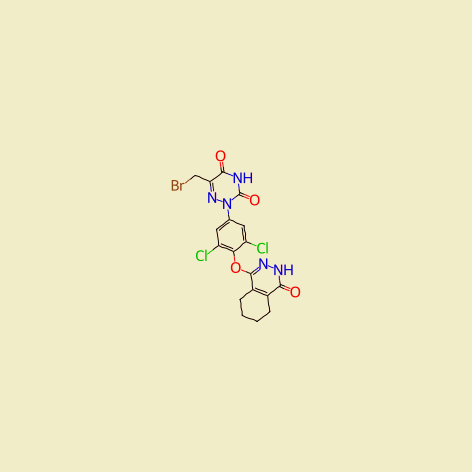 O=c1[nH]c(=O)n(-c2cc(Cl)c(Oc3n[nH]c(=O)c4c3CCCC4)c(Cl)c2)nc1CBr